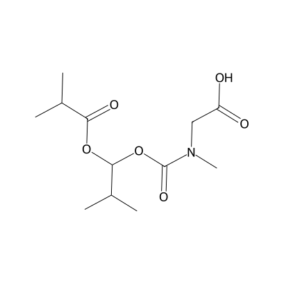 CC(C)C(=O)OC(OC(=O)N(C)CC(=O)O)C(C)C